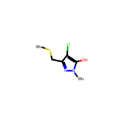 CC(C)(C)SCc1nn(C(C)(C)C)c(O)c1Cl